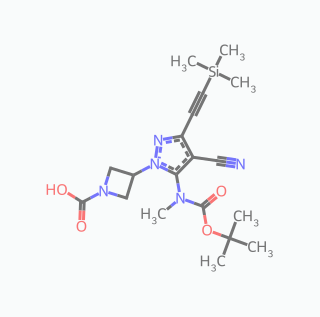 CN(C(=O)OC(C)(C)C)c1c(C#N)c(C#C[Si](C)(C)C)nn1C1CN(C(=O)O)C1